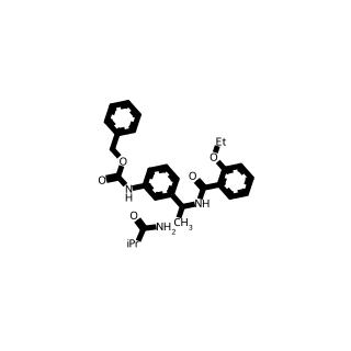 CC(C)C(N)=O.CCOc1ccccc1C(=O)NC(C)c1cccc(NC(=O)OCc2ccccc2)c1